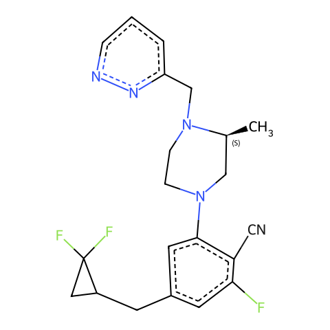 C[C@H]1CN(c2cc(CC3CC3(F)F)cc(F)c2C#N)CCN1Cc1cccnn1